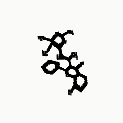 CC(Nc1nc(N)nc(N)c1C#N)c1c(-c2ccccc2)oc2c(Cl)cccc2c1=O